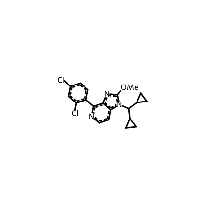 COc1nc2c(-c3ccc(Cl)cc3Cl)nccc2n1C(C1CC1)C1CC1